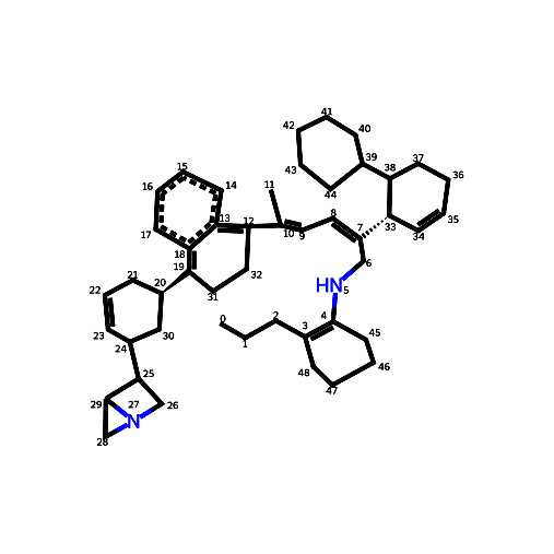 CCCC1=C(NC/C(=C\C=C(/C)C2=c3ccccc3=C([C@@H]3CC=CC(C4CN5CC45)C3)CC2)[C@H]2C=CCCC2C2CCCCC2)CCCC1